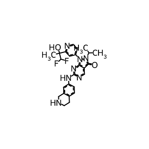 CC(C)n1c(=O)c2cnc(Nc3ccc4c(c3)CNCC4)nc2n1-c1ccnc(C(C)(O)C(F)F)c1